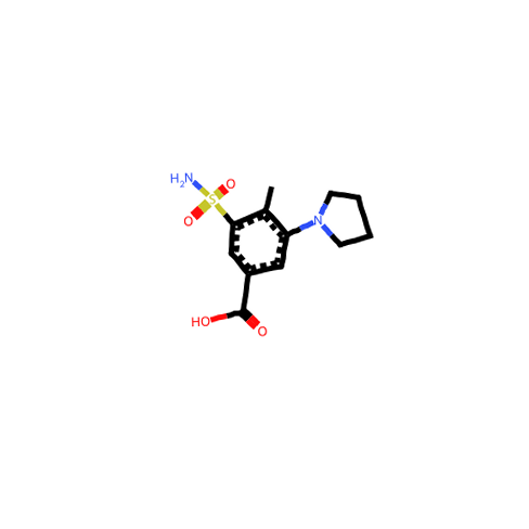 Cc1c(N2CCCC2)cc(C(=O)O)cc1S(N)(=O)=O